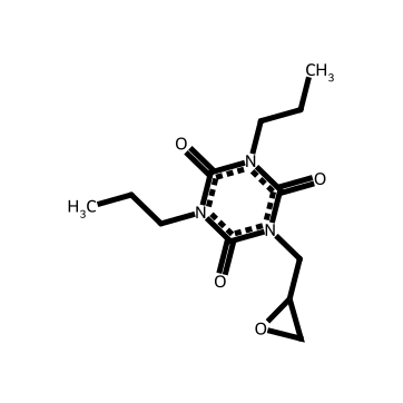 CCCn1c(=O)n(CCC)c(=O)n(CC2CO2)c1=O